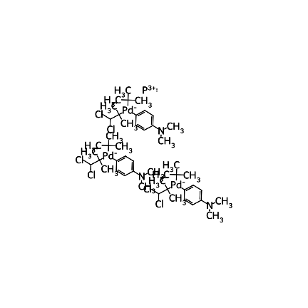 CN(C)c1cc[c]([Pd-]([C](C)(C)C)[C](C)(C)C(Cl)Cl)cc1.CN(C)c1cc[c]([Pd-]([C](C)(C)C)[C](C)(C)C(Cl)Cl)cc1.CN(C)c1cc[c]([Pd-]([C](C)(C)C)[C](C)(C)C(Cl)Cl)cc1.[P+3]